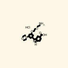 Cl.NCCOCCOc1cc(-c2n[nH]c3ccc(C(=O)O)cc23)cc(N2CCOCC2)c1